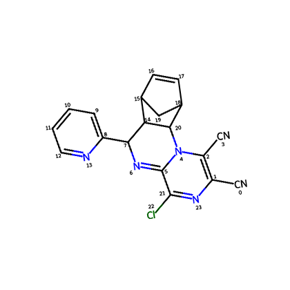 N#CC1=C(C#N)N2C(=NC(c3ccccn3)C3C4C=CC(C4)C32)C(Cl)=N1